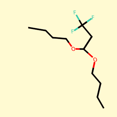 CCCCOC(CC(F)(F)F)OCCCC